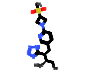 CC(C)C[C@H](C(=O)O)[C@H](Cc1ccc(N2CC(S(C)(=O)=O)C2)nc1)c1nnn[nH]1